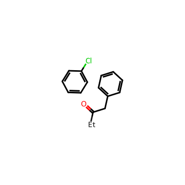 CCC(=O)Cc1ccccc1.Clc1ccccc1